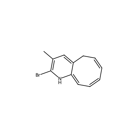 CC1=C(Br)N/C2=C/C=C\C=C/CC2=C1